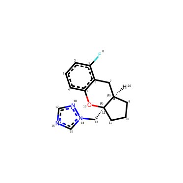 Fc1cccc2c1C[C@H]1CCC[C@@]1(Cn1cncn1)O2